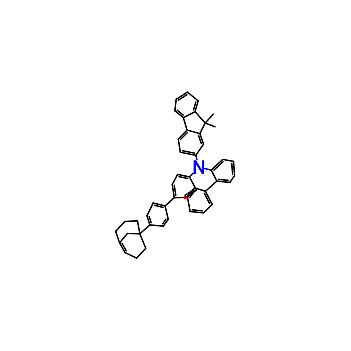 CC1(C)c2ccccc2-c2ccc(N(c3ccc(-c4ccc(C56CCC=C(CCC5)C6)cc4)cc3)c3ccccc3-c3ccccc3)cc21